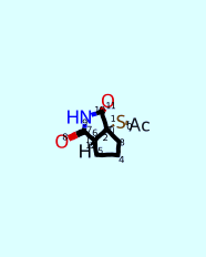 CC(=O)S[C@]12CCC[C@H]1C(=O)NC2=O